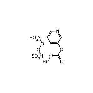 O=C(OO)Oc1cccnc1.O=S(=O)(O)OOS(=O)(=O)O